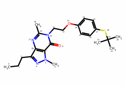 CCCc1nn(C)c2c(=O)n(CCOc3ccc(SC(C)(C)C)cc3)c(C)nc12